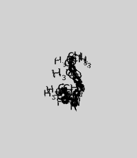 CC(C)N(C(=O)c1cc(F)ccc1Oc1cncnc1N1CC[C@@H](CN2CC3(CCN(S(=O)(=O)N4CCN(C(=O)OC(C)(C)C)C[C@@H]4C)CC3)C2)C1)C(C)C